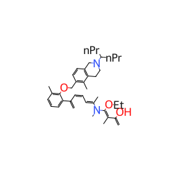 C=C(O)/C(C)=C(\OCC)N(C)/C(C)=C/C=C\C(=C)c1cccc(C)c1OCc1ccc2c(c1C)CCN(C(CCC)CCC)C2